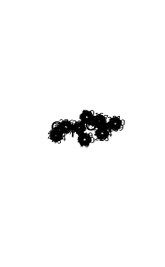 c1ccc(-c2cc(-c3cccc4c3oc3c4ccc4c3c3ccccc3n4-c3ccccc3)cc(-c3ccc4oc5ccccc5c4c3)n2)cc1